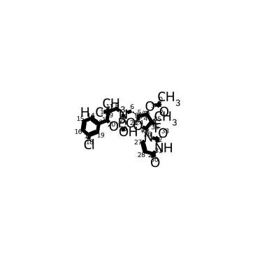 CC(=O)O[C@@H]1[C@@H](CN2CC(C)(C)C(c3cccc(Cl)c3)OP2(=O)O)O[C@@H](n2ccc(=O)[nH]c2=O)[C@]1(C)F